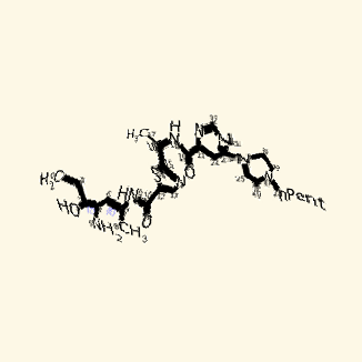 C=C/C(O)=C(N)\C=C(/C)NC(=O)c1cnc([C@@H](C)NC(=O)c2cc(N3CCN(CCCCC)CC3)ncn2)s1